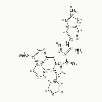 COc1ccc(Cn2c(C(=O)c3cnn(-c4ccc5[nH]c(C)nc5c4)c3N)cc(-c3ccccc3)c2-c2ccccc2)cc1